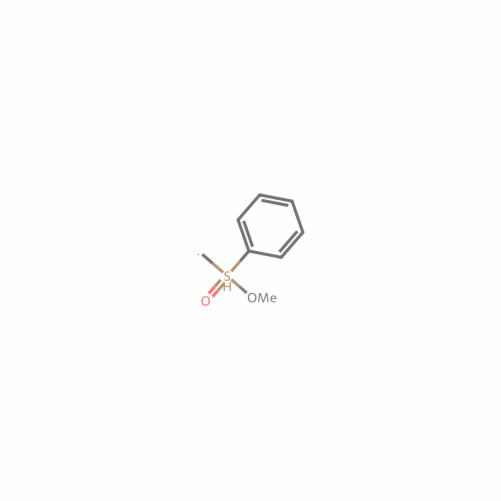 [CH2][SH](=O)(OC)c1ccccc1